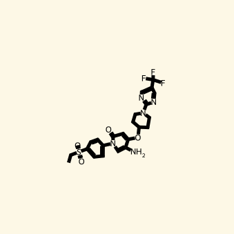 CCS(=O)(=O)c1ccc(-n2cc(N)c(OC3CCN(c4ncc(C(F)(F)F)cn4)CC3)cc2=O)cc1